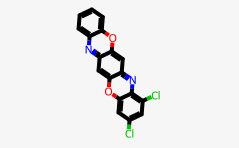 Clc1cc(Cl)c2c(c1)Oc1cc3c(cc1=N2)Oc1ccccc1N=3